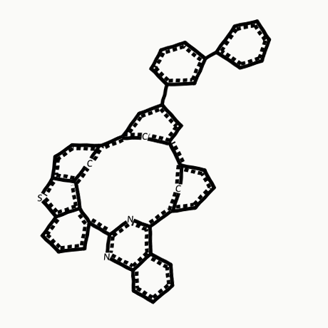 c1ccc(-c2cccc(-c3cc4cc(c3)c3ccc5sc6cccc(c7nc8ccccc8c(n7)c7cccc4c7)c6c5c3)c2)cc1